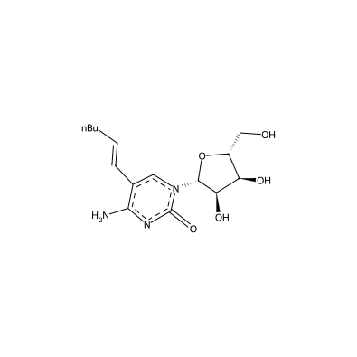 CCCCC=Cc1cn([C@@H]2O[C@H](CO)[C@@H](O)[C@H]2O)c(=O)nc1N